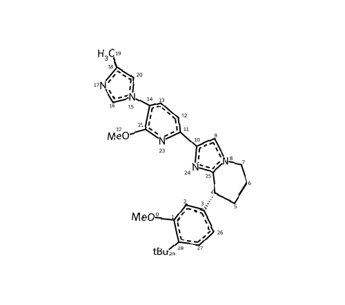 COc1cc([C@H]2CCCn3cc(-c4ccc(-n5cnc(C)c5)c(OC)n4)nc32)ccc1C(C)(C)C